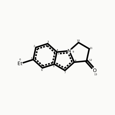 CCc1ccc2c(c1)cc1n2CCC1=O